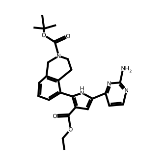 CCOC(=O)c1cc(-c2ccnc(N)n2)[nH]c1-c1cccc2c1CCN(C(=O)OC(C)(C)C)C2